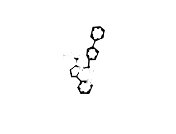 O=C(O)[C@@H]1CCC(c2ccccn2)N1C(=O)c1ccc(-c2ccccc2)cc1